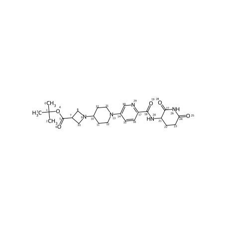 CC(C)(C)OC(=O)C1CN(C2CCN(c3ccc(C(=O)NC4CCC(=O)NC4=O)nc3)CC2)C1